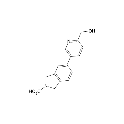 O=C(O)N1Cc2ccc(-c3ccc(CO)nc3)cc2C1